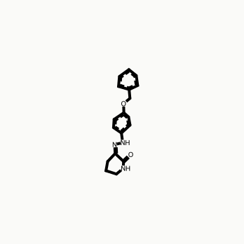 O=C1NCCC/C1=N/Nc1ccc(OCc2ccccc2)cc1